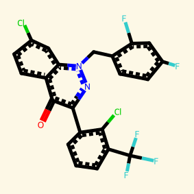 O=c1c(-c2cccc(C(F)(F)F)c2Cl)nn(Cc2ccc(F)cc2F)c2cc(Cl)ccc12